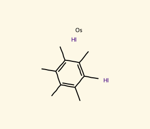 Cc1c(C)c(C)c(C)c(C)c1C.I.I.[Os]